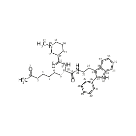 CC(=O)CCCCC[C@H](NC(=O)C1CCCN(C)C1)C(=O)NCCc1c(-c2ccccc2)[nH]c2ccccc12